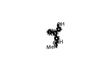 CNCC(=O)Nc1ccc(N2CC(c3cccc(CO)c3)OC(c3ncccn3)C2)cc1